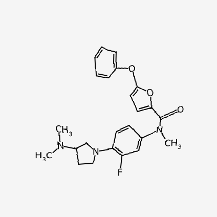 CN(C(=O)c1ccc(Oc2ccccc2)o1)c1ccc(N2CCC(N(C)C)C2)c(F)c1